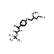 CC(C)(C)OC(=O)NC(=N)c1ccc(OCC(CCO)ON)cc1